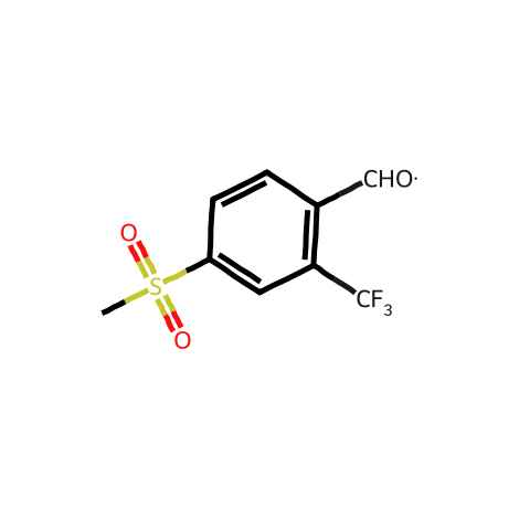 CS(=O)(=O)c1ccc([C]=O)c(C(F)(F)F)c1